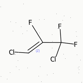 F/C(=C\Cl)C(F)(F)Cl